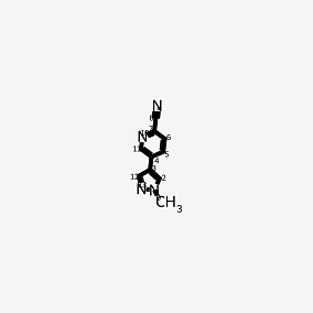 Cn1cc(-c2ccc(C#N)nc2)cn1